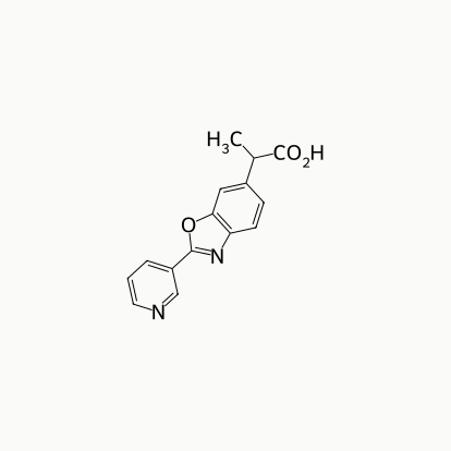 CC(C(=O)O)c1ccc2nc(-c3cccnc3)oc2c1